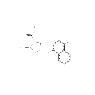 COc1cnc(O[C@@H]2C[C@@H](C=O)N(C(=O)OC(C)(C)C)C2)c2cc(Cl)ccc12